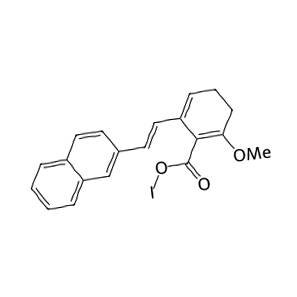 COC1=C(C(=O)OI)C(/C=C/c2ccc3ccccc3c2)=CCC1